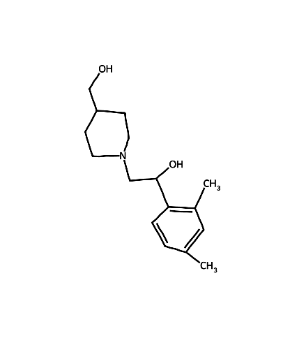 Cc1ccc(C(O)CN2CCC(CO)CC2)c(C)c1